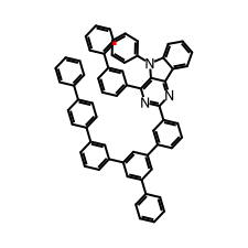 c1ccc(-c2ccc(-c3cccc(-c4cc(-c5ccccc5)cc(-c5cccc(-c6nc(-c7cccc(-c8ccccc8)c7)c7c(n6)c6ccccc6n7-c6ccccc6)c5)c4)c3)cc2)cc1